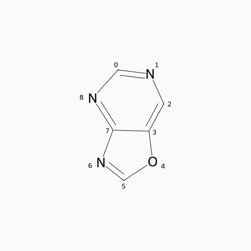 c1ncc2ocnc2n1